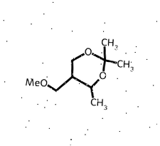 COCC1COC(C)(C)OC1C